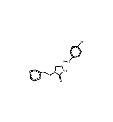 O=C1N[C@@H](COc2ccc(Br)cc2)CN1OCc1ccccc1